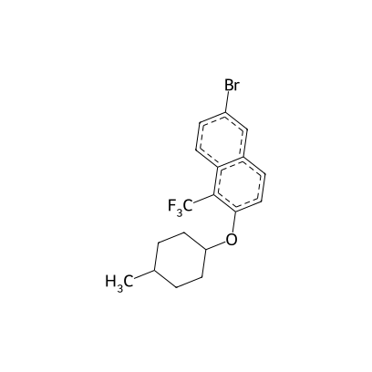 CC1CCC(Oc2ccc3cc(Br)ccc3c2C(F)(F)F)CC1